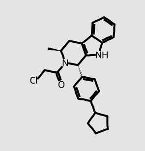 C[C@H]1Cc2c([nH]c3ccccc23)[C@H](c2ccc(C3CCCC3)cc2)N1C(=O)CCl